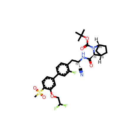 CC(C)(C)OC(=O)N1[C@@H]2CC[C@@H](C2)[C@H]1C(=O)N[C@H](C#N)Cc1ccc(-c2ccc(S(C)(=O)=O)c(OCC(F)F)c2)cc1F